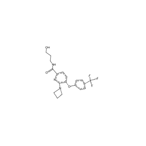 O=C(NCCCO)c1ccc(Oc2ccc(C(F)(F)F)cc2)c(N2CCC2)n1